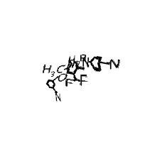 BN(Cc1cnc(C)c(OCc2cccc(C#N)c2)c1C(F)F)c1ccc(C#N)cc1